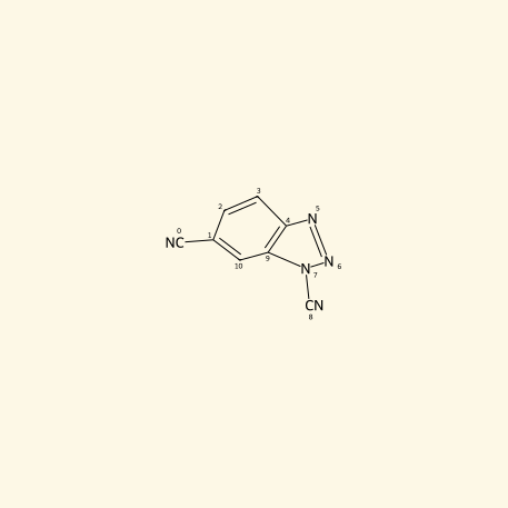 N#Cc1ccc2nnn(C#N)c2c1